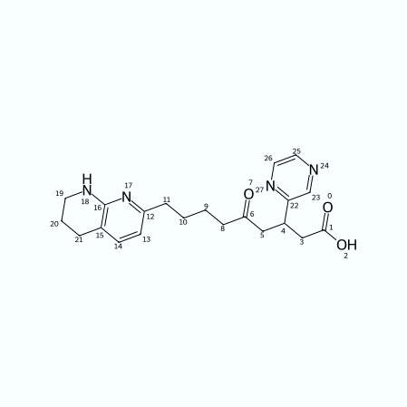 O=C(O)CC(CC(=O)CCCCc1ccc2c(n1)NCCC2)c1cnccn1